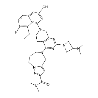 CCc1c(F)ccc2cc(O)cc(N3CCc4c(nc(N5CC(N(C)C)C5)nc4N4CCCn5nc(C(=O)N(C)C)cc5C4)C3)c12